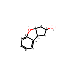 OC1CC2Oc3ccccc3C2C1